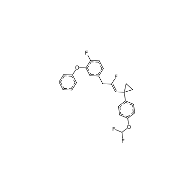 FC(=CC1(c2ccc(OC(F)F)cc2)CC1)Cc1ccc(F)c(Oc2ccccc2)c1